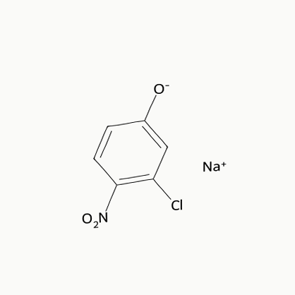 O=[N+]([O-])c1ccc([O-])cc1Cl.[Na+]